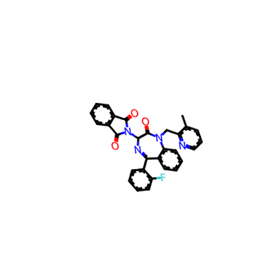 Cc1cccnc1CN1C(=O)C(N2C(=O)c3ccccc3C2=O)N=C(c2ccccc2F)c2ccccc21